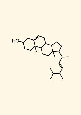 CC(C)C(C)/C=C/C(C)C1CCC2C3CC=C4CC(O)CCC4(C)C3CCC12C